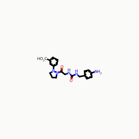 Nc1ccc(CNC(=O)NCC(=O)N2CCCN2c2cccc(C(=O)O)c2)cc1